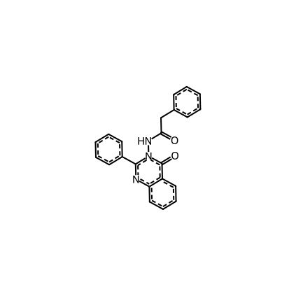 O=C(Cc1ccccc1)Nn1c(-c2ccccc2)nc2ccccc2c1=O